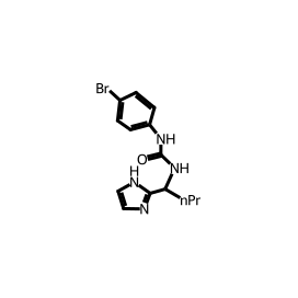 CCCC(NC(=O)Nc1ccc(Br)cc1)c1ncc[nH]1